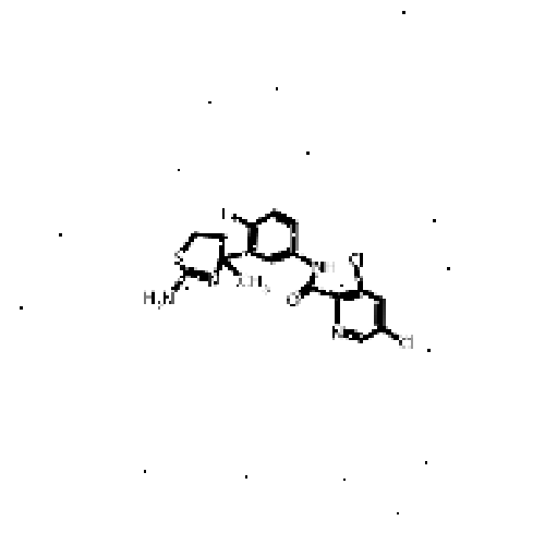 CC1(c2cc(NC(=O)c3ncc(Cl)cc3Cl)ccc2F)CCSC(N)=N1